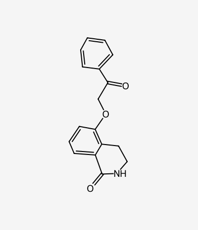 O=C(COc1cccc2c1CCNC2=O)c1ccccc1